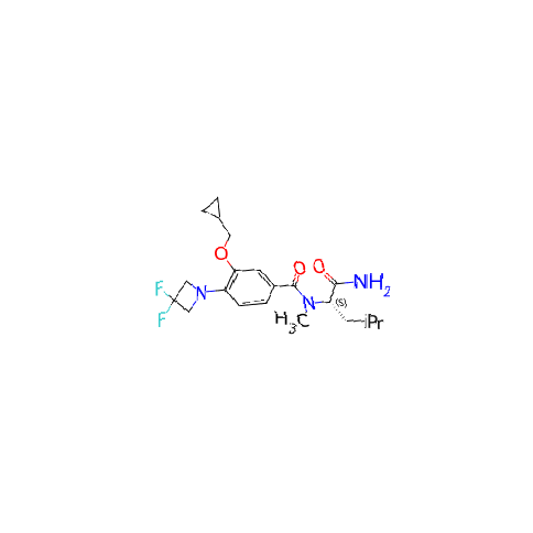 CC(C)C[C@@H](C(N)=O)N(C)C(=O)c1ccc(N2CC(F)(F)C2)c(OCC2CC2)c1